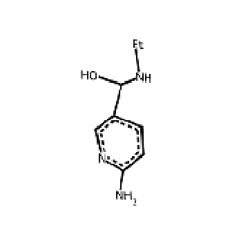 CCNC(O)c1ccc(N)nc1